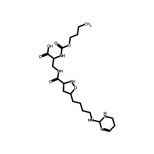 CCCCOC(=O)NC(CNC(=O)C1CC(CCCCNC2N=CCCN2)ON1)C(=O)O